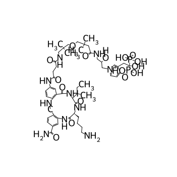 CCC(C)C1NC(=O)c2cc(NC(=O)CCC(=O)NCC(C)(C)COCC(C)(C)CC(=O)NCC(O)C[n+]3cccc(CC(O)(P(=O)(O)O)P(=O)(O)O)c3)ccc2NCc2ccc(C(N)=O)cc2NC(=O)[C@H](CCCCN)NC1=O